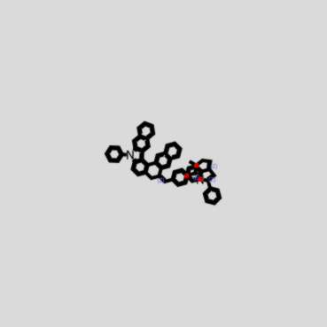 CC1C/C=C(c2ccccc2)/C=C(c2ccccc2)\N=C/1c1ccc(/C=C2/Cc3ccc4c(c3-c3cc5ccccc5cc32)c2cc3ccccc3cc2n4-c2ccccc2)cc1